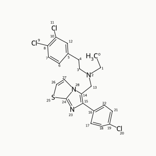 CCN(CCc1ccc(Cl)c(Cl)c1)Cc1c(-c2ccc(Cl)cc2)nc2sccn12